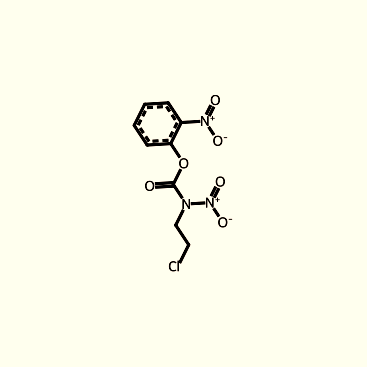 O=C(Oc1ccccc1[N+](=O)[O-])N(CCCl)[N+](=O)[O-]